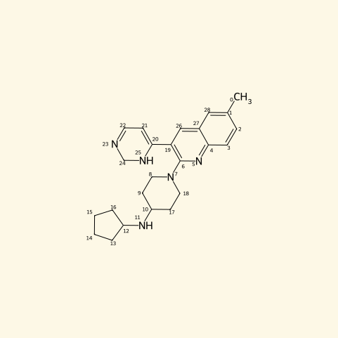 Cc1ccc2nc(N3CCC(NC4CCCC4)CC3)c(C3=CC=NCN3)cc2c1